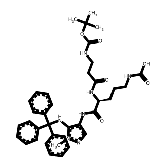 Cn1ncc(NC(=O)[C@H](CCCNC(=O)O)NC(=O)CCNC(=O)OC(C)(C)C)c1NC(c1ccccc1)(c1ccccc1)c1ccccc1